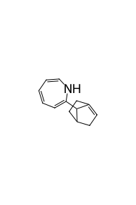 C1=CC=C(C2C3=CCC2CC3)NC=C1